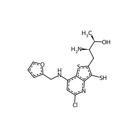 C[C@@H](O)[C@H](N)Cc1sc2c(NCc3ccco3)cc(Cl)nc2c1S